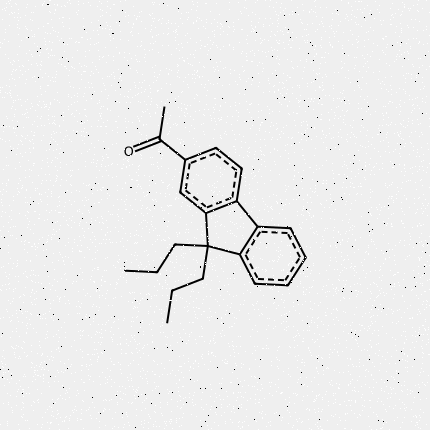 CCCC1(CCC)c2ccccc2-c2ccc(C(C)=O)cc21